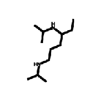 CCC(CCCNC(C)C)NC(C)C